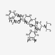 CCN(CC)CCN(Cc1ccc(C(=O)Nc2ccccc2N)nc1)C(=O)Nc1ccc(F)c(F)c1